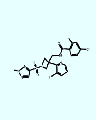 Cc1cc(Cl)ccc1C(=O)NCC1(c2ncccc2F)CN(S(=O)(=O)c2cnn(C)n2)C1